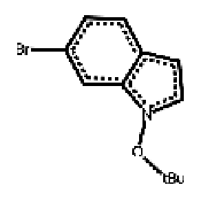 CC(C)(C)On1ccc2ccc(Br)cc21